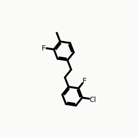 Cc1ccc(CCc2cccc(Cl)c2F)cc1F